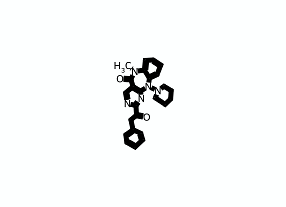 CN1C(=O)c2cnc(C(=O)Cc3ccccc3)nc2N(N2CCCCC2)c2ccccc21